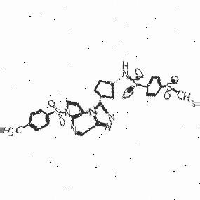 Cc1ccc(S(=O)(=O)n2ccc3c2ncc2nnc([C@@H]4CC[C@H](NS(=O)(=O)c5ccc(S(C)(=O)=O)cc5)C4)n23)cc1